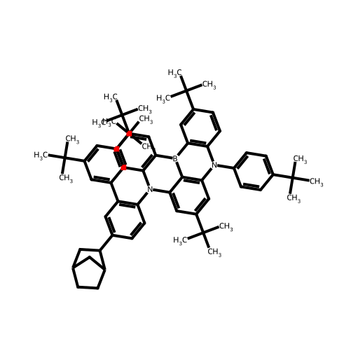 CC(C)(C)c1ccc(N2c3ccc(C(C)(C)C)cc3B3c4cc(C(C)(C)C)ccc4N(c4ccc(C5CC6CCC5C6)cc4-c4cc(C(C)(C)C)cc(C(C)(C)C)c4)c4cc(C(C)(C)C)cc2c43)cc1